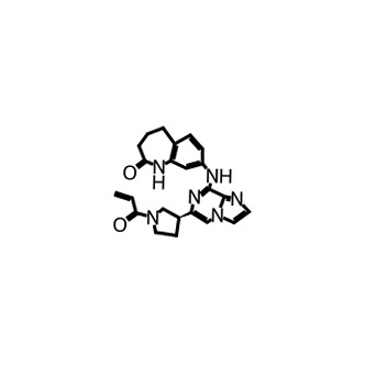 C=CC(=O)N1CC[C@H](c2cn3ccnc3c(Nc3ccc4c(c3)NC(=O)CCC4)n2)C1